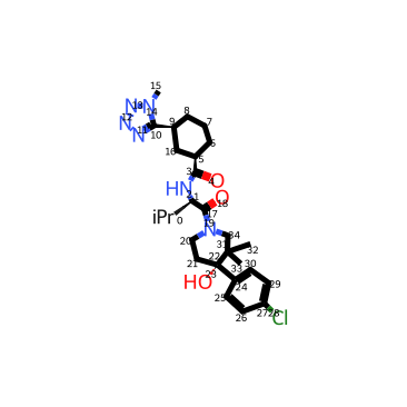 CC(C)[C@@H](NC(=O)[C@@H]1CCC[C@H](c2nnnn2C)C1)C(=O)N1CC[C@](O)(c2ccc(Cl)cc2)C(C)(C)C1